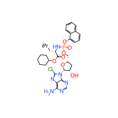 CC(C)C[C@H](NP(=O)(OC[C@@H]1C[C@H](O)[C@H](n2c(Cl)nc3c(N)ncnc32)O1)Oc1cccc2ccccc12)C(=O)OC1CCCCC1